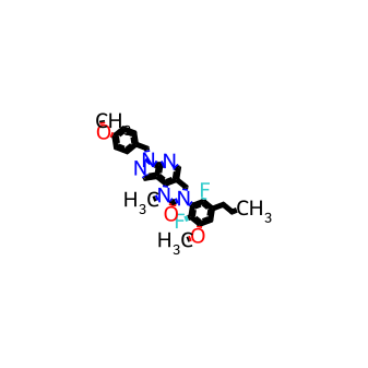 CCCc1cc(OC)c(F)c(N2Cc3cnc4c(cnn4Cc4ccc(OC)cc4)c3N(C)C2=O)c1F